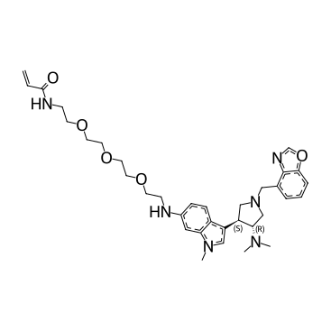 C=CC(=O)NCCOCCOCCOCCNc1ccc2c([C@H]3CN(Cc4cccc5ocnc45)C[C@@H]3N(C)C)cn(C)c2c1